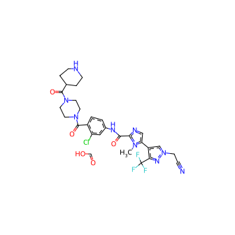 Cn1c(-c2cn(CC#N)nc2C(F)(F)F)cnc1C(=O)Nc1ccc(C(=O)N2CCN(C(=O)C3CCNCC3)CC2)c(Cl)c1.O=CO